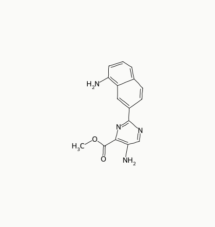 COC(=O)c1nc(-c2ccc3cccc(N)c3c2)ncc1N